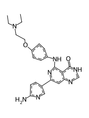 CCN(CC)CCOc1ccc(Nc2nc(-c3ccc(N)nc3)cc3nc[nH]c(=O)c23)cc1